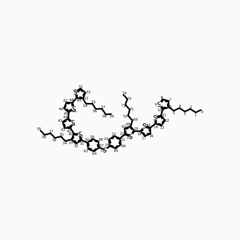 CCCCCCc1ccsc1-c1ccc(-c2ccc(-c3sc(-c4ccc(Sc5ccc(-c6cc(CCCCCC)c(-c7ccc(-c8ccc(-c9sccc9CCCCCC)s8)s7)s6)cc5)cc4)cc3CCCCCC)s2)s1